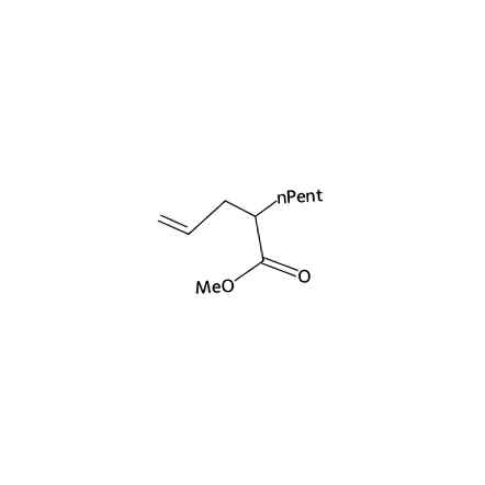 C=CCC(CCCCC)C(=O)OC